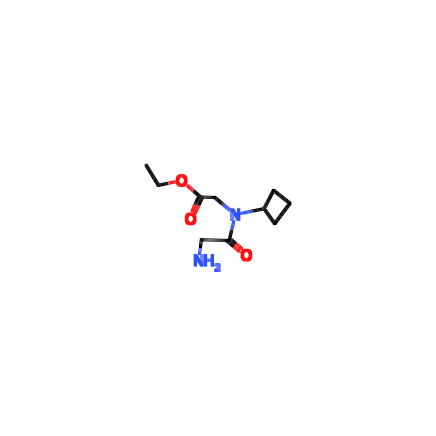 CCOC(=O)CN(C(=O)CN)C1CCC1